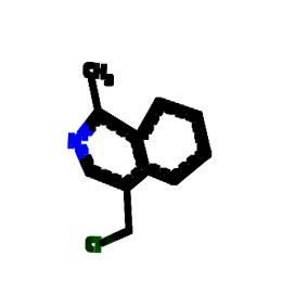 Cc1ncc(CCl)c2ccccc12